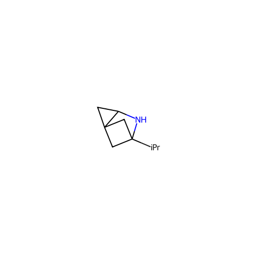 CC(C)C12CC3(CC3N1)C2